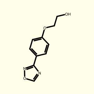 OCCOc1ccc(-c2ncon2)cc1